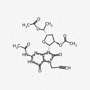 C#CCn1c(=O)n([C@@H]2O[C@H](C(C)OC(C)=O)C[C@H]2OC(C)=O)c2nc(NC(C)=O)[nH]c(=O)c21